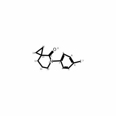 O=C1N(c2ccc(I)cc2)CCCC12CC2